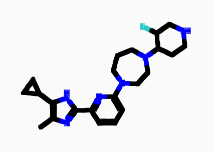 Cc1nc(-c2cccc(N3CCCN(C4CCNCC4F)CC3)n2)[nH]c1C1CC1